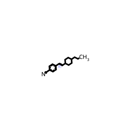 CCCC1CCC(/C=C/c2ccc(C#N)cc2)CC1